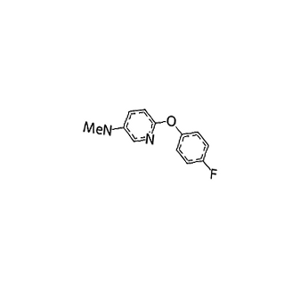 CNc1ccc(Oc2ccc(F)cc2)nc1